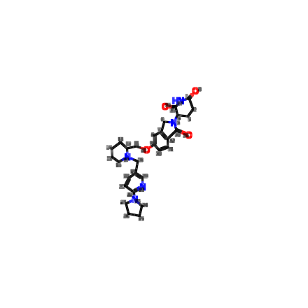 O=C1CCC(N2Cc3cc(OCC4CCCCN4Cc4ccc(N5CCCC5)nc4)ccc3C2=O)C(=O)N1